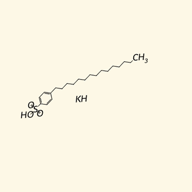 CCCCCCCCCCCCCCCc1ccc(S(=O)(=O)O)cc1.[KH]